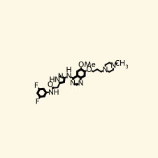 COc1cc2c(Nc3cc(CC(=O)Nc4cc(F)cc(F)c4)[nH]n3)ncnc2cc1OCCCN1CCN(C)CC1